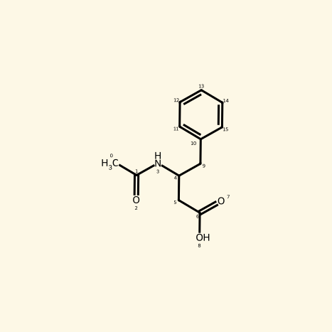 CC(=O)NC(CC(=O)O)Cc1ccccc1